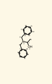 C[C](O)N(Cc1ccccc1)Cc1ccccc1